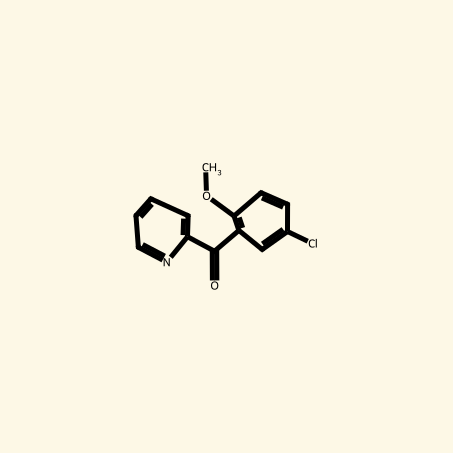 COc1ccc(Cl)cc1C(=O)c1ccccn1